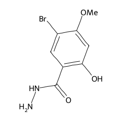 COc1cc(O)c(C(=O)NN)cc1Br